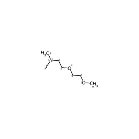 COCCOCCN(C)I